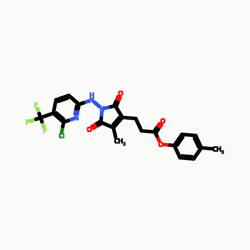 CC1=C(CCC(=O)Oc2ccc(C)cc2)C(=O)N(Nc2ccc(C(F)(F)F)c(Cl)n2)C1=O